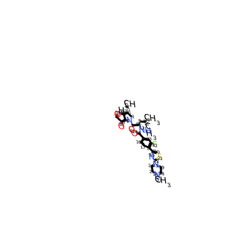 C#C[C@@H]1CN(C(=O)[C@H](CC(C)C)NC(=O)c2ccc(-c3csc(N4CCN(C)CC4)n3)c(F)c2)C2C(=O)CO[C@@H]21